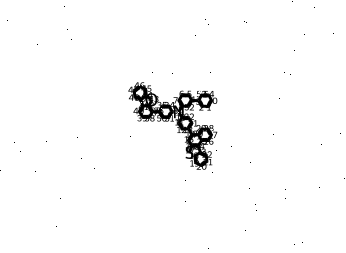 c1ccc(-c2cccc(N(c3ccc(-c4cc5sc6ccccc6c5c5ccccc45)cc3)c3ccc(-c4cccc5c4oc4ccccc45)cc3)c2)cc1